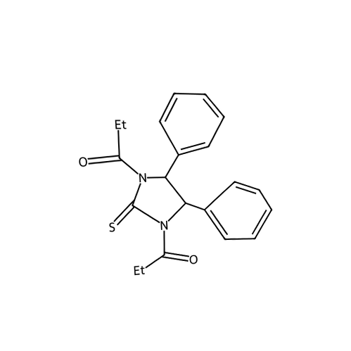 CCC(=O)N1C(=S)N(C(=O)CC)C(c2ccccc2)C1c1ccccc1